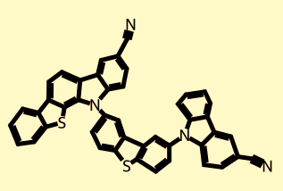 N#Cc1ccc2c(c1)c1ccccc1n2-c1ccc2sc3ccc(-n4c5ccc(C#N)cc5c5ccc6c7ccccc7sc6c54)cc3c2c1